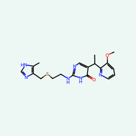 COc1cccnc1C(C)c1cnc(NCCSCc2nc[nH]c2C)[nH]c1=O